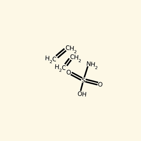 C=C.C=C.NS(=O)(=O)O